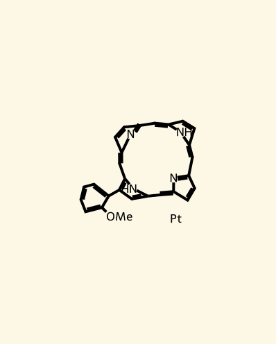 COc1ccccc1-c1cc2cc3nc(cc4ccc(cc5nc(cc1[nH]2)C=C5)[nH]4)C=C3.[Pt]